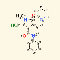 CN1CC(C(=O)N(CCCN2CCCCC2)c2ccccc2)CC1=O.Cl